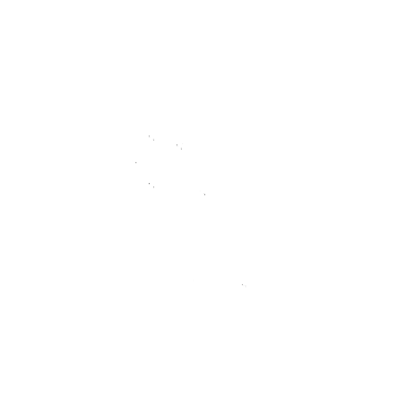 Fc1cccc(-c2ncccc2CNc2nnnn2-c2cccc(Cl)c2Cl)c1